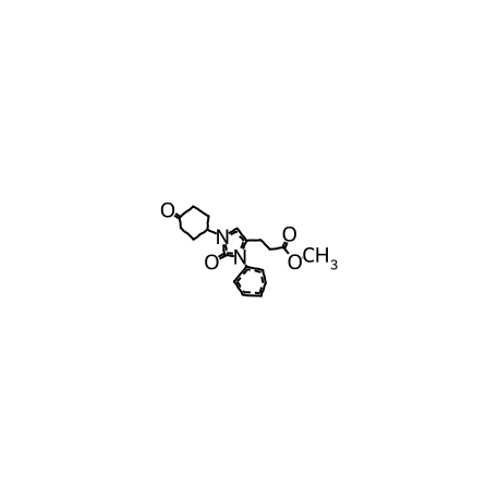 COC(=O)CCc1cn(C2CCC(=O)CC2)c(=O)n1-c1ccccc1